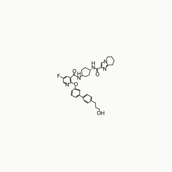 O=C(N[C@H]1CC[C@H](NC(=O)c2cc(F)cnc2Oc2cccc(-c3ccc(CCCO)cc3)c2)CC1)c1cn2c(n1)CCCC2